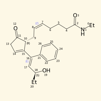 CCNC(=O)CCC/C=C\C[C@H]1C(=O)CC=C1/C(=C/[C@@H](O)CC)c1ccccc1